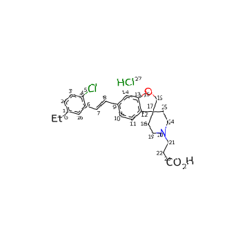 CCc1ccc(Cl)c(/C=C/c2ccc3c(c2)OCC32CCN(CCC(=O)O)CC2)c1.Cl